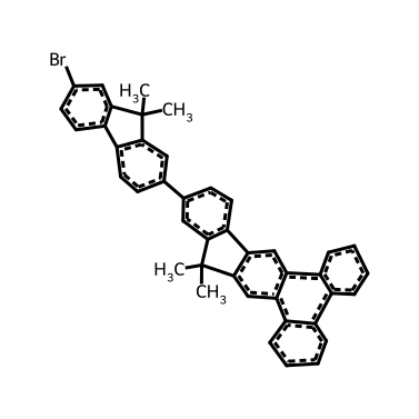 CC1(C)c2cc(Br)ccc2-c2ccc(-c3ccc4c(c3)C(C)(C)c3cc5c6ccccc6c6ccccc6c5cc3-4)cc21